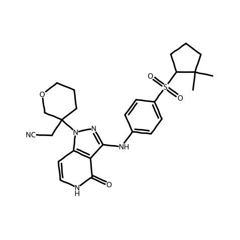 CC1(C)CCCC1S(=O)(=O)c1ccc(Nc2nn(C3(CC#N)CCCOC3)c3cc[nH]c(=O)c23)cc1